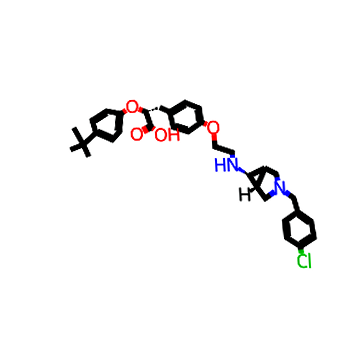 CC(C)(C)c1ccc(O[C@H](Cc2ccc(OCCN[C@H]3C4CN(Cc5ccc(Cl)cc5)C[C@@H]43)cc2)C(=O)O)cc1